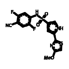 COc1csc(-c2cc(S(=O)(=O)Nc3cc(F)c(C#N)cc3F)c[nH]2)n1